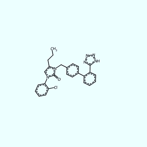 CCCc1cn(-c2ccccc2Cl)c(=O)n1Cc1ccc(-c2ccccc2-c2nnn[nH]2)cc1